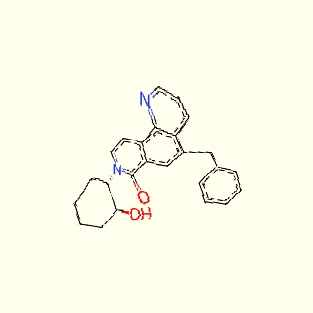 O=c1c2cc(Cc3ccccc3)c3cccnc3c2ccn1[C@H]1CCCC[C@@H]1O